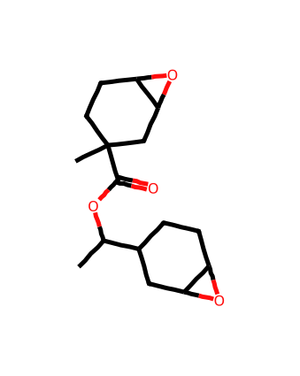 CC(OC(=O)C1(C)CCC2OC2C1)C1CCC2OC2C1